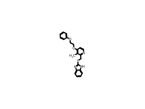 Cc1c(OCCOc2ccccc2)ccnc1CSc1nc2ccccc2[nH]1